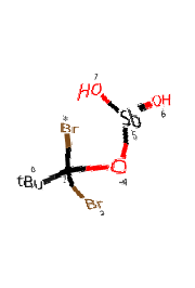 CC(C)(C)C(Br)(Br)[O][Sb]([OH])[OH]